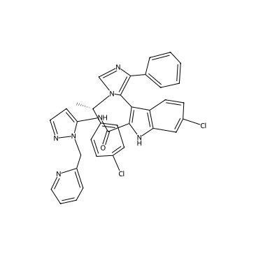 C[C@@H](c1ccc(Cl)cc1)n1cnc(-c2ccccc2)c1-c1c(C(=O)Nc2ccnn2Cc2ccccn2)[nH]c2cc(Cl)ccc12